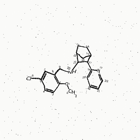 COc1ccc(Cl)cc1CNC1C2CCC(C2)C1c1ccccn1